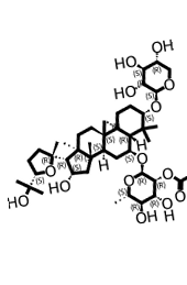 CC(=O)O[C@H]1[C@H](O[C@H]2C[C@@H]3[C@]4(CC[C@]5(C)[C@@H]([C@@]6(C)CC[C@@H](C(C)(C)O)O6)[C@@H](O)C[C@@]35C)C[C@@]43CC[C@H](O[C@@H]4OC[C@@H](O)[C@H](O)[C@H]4O)C(C)(C)[C@H]23)O[C@@H](C)[C@H](O)[C@H]1O